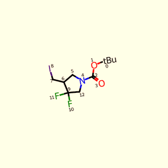 CC(C)(C)OC(=O)N1CC(CI)C(F)(F)C1